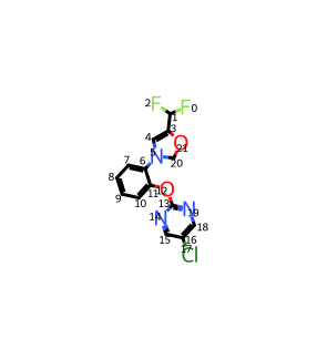 FC(F)C1=CN(c2ccccc2Oc2ncc(Cl)cn2)CO1